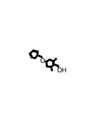 CC1=C(CO)C(C)CC(OCC2C=CC=CC2)C1